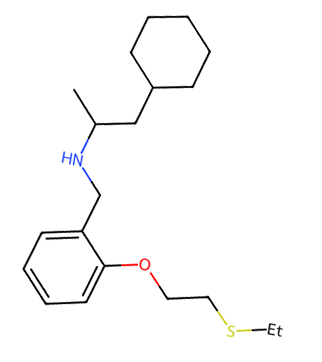 CCSCCOc1ccccc1CNC(C)CC1CCCCC1